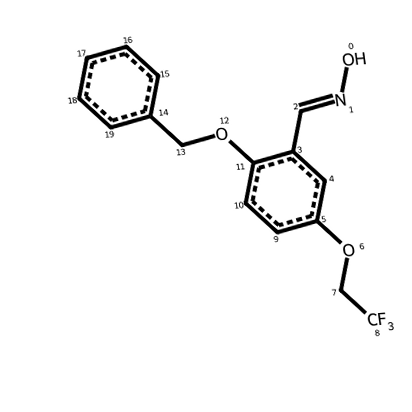 ON=Cc1cc(OCC(F)(F)F)ccc1OCc1ccccc1